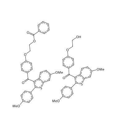 COc1ccc(-c2sc3cc(OC)ccc3c2C(=O)c2ccc(OCCO)cc2)cc1.COc1ccc(-c2sc3cc(OC)ccc3c2C(=O)c2ccc(OCCOC(=O)c3ccccc3)cc2)cc1